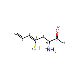 C=C/C=C(\S)CC(N)C(C)=O